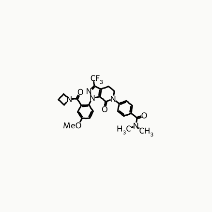 COc1ccc(-n2nc(C(F)(F)F)c3c2C(=O)N(c2ccc(C(=O)N(C)C)cc2)CC3)c(C(=O)N2CCC2)c1